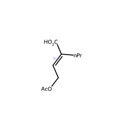 CCC/C(=C\COC(C)=O)C(=O)O